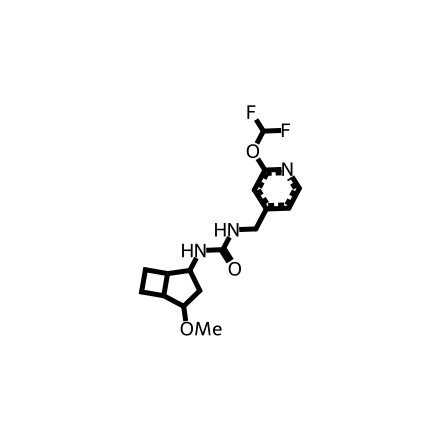 COC1CC(NC(=O)NCc2ccnc(OC(F)F)c2)C2CCC12